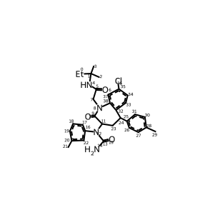 CCC(C)(C)NC(=O)CN1C(=O)C(N(C(N)=O)c2cccc(C)c2)CC(c2ccc(C)cc2)c2ccc(Cl)cc21